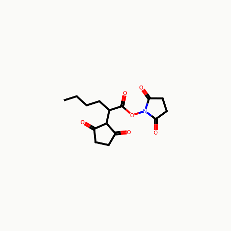 CCCCC(C(=O)ON1C(=O)CCC1=O)C1C(=O)CCC1=O